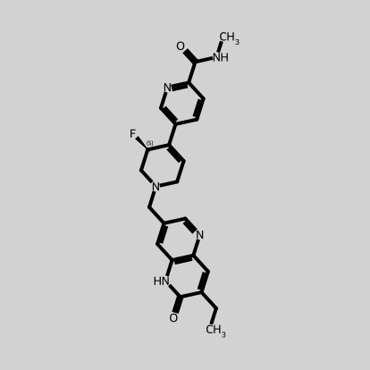 CCc1cc2ncc(CN3CC=C(c4ccc(C(=O)NC)nc4)[C@H](F)C3)cc2[nH]c1=O